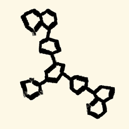 c1cnc2c(-c3ccc(-c4cc(-c5ccc(-c6cccc7cccnc67)cc5)cc(-c5ncncn5)c4)cc3)cccc2c1